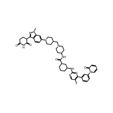 Cn1nc(C2CCC(=O)NC2=O)c2ccc(N3CCC(CN4CCC(NC(=O)C5CCCC(Nc6ncc(F)c(-c7cccc(-n8ccccc8=O)c7)n6)C5)CC4)CC3)cc21